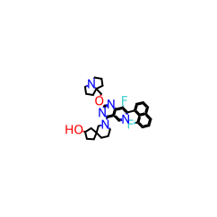 OC1CCC2(CCCN(c3nc(OCC45CCCN4CCC5)nc4c(F)c(-c5cccc6cccc(F)c56)ncc34)C2)C1